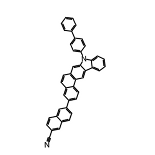 N#Cc1ccc2cc(-c3ccc4c(ccc5cc6c(cc54)c4ccccc4n6-c4ccc(-c5ccccc5)cc4)c3)ccc2c1